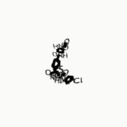 NC(=O)c1c(NC(=O)Nc2ccc(Cl)cc2)sc2cc(C(=O)Nc3ccc4[nH]c(=O)oc4c3)ccc12